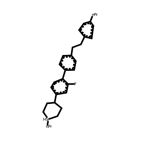 CCCc1ccc(CCc2ccc(-c3ccc(C4CC[SiH](CCC)CC4)cc3F)cc2)cc1